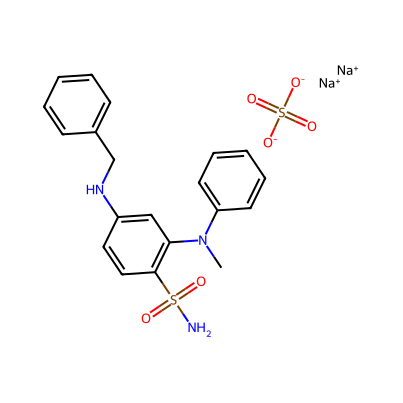 CN(c1ccccc1)c1cc(NCc2ccccc2)ccc1S(N)(=O)=O.O=S(=O)([O-])[O-].[Na+].[Na+]